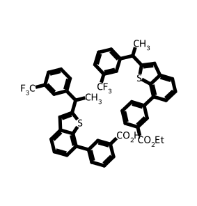 CC(c1cccc(C(F)(F)F)c1)c1cc2cccc(-c3cccc(C(=O)O)c3)c2s1.CCOC(=O)c1cccc(-c2cccc3cc(C(C)c4cccc(C(F)(F)F)c4)sc23)c1